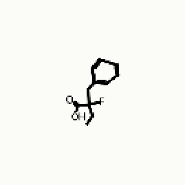 CCC(F)(Cc1ccccc1)C(=O)O